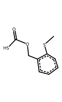 CSc1ccccc1COC(=O)S